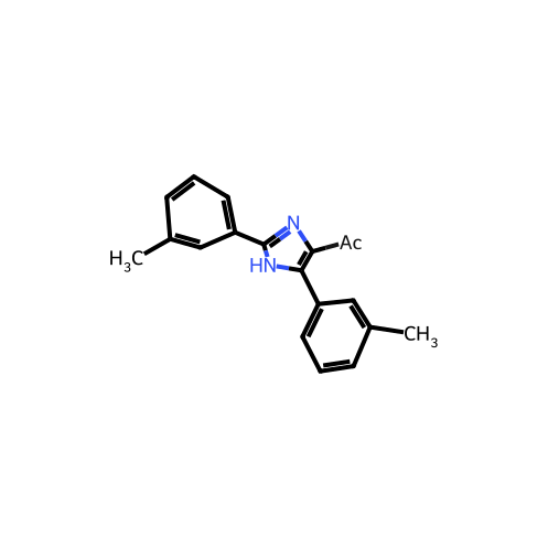 CC(=O)c1nc(-c2cccc(C)c2)[nH]c1-c1cccc(C)c1